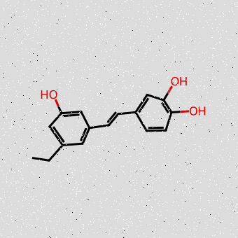 CCc1cc(O)cc(/C=C/c2ccc(O)c(O)c2)c1